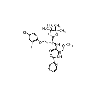 COC[C@@H](NC(=O)c1cnccn1)C(=O)N[C@H](CCOc1ccc(Cl)cc1F)B1OC(C)(C)C(C)(C)O1